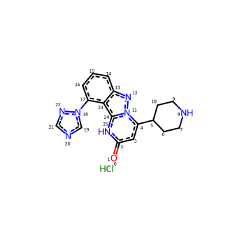 Cl.O=c1cc(C2CCNCC2)n2nc3cccc(-n4cncn4)c3c2[nH]1